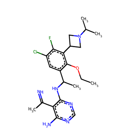 CCOc1c(C(C)Nc2ncnc(N)c2C(C)=N)cc(Cl)c(F)c1C1CN(C(C)C)C1